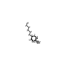 CCCCCCc1cnc(Br)nc1